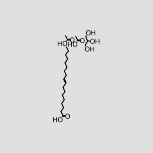 CC(=O)O.CC(=O)O.CCCCCCCCC=CCCCCCCCC(=O)O.OCC(O)CO